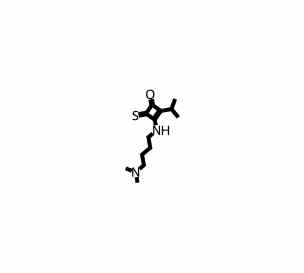 CC(C)c1c(NCCCCN(C)C)c(=S)c1=O